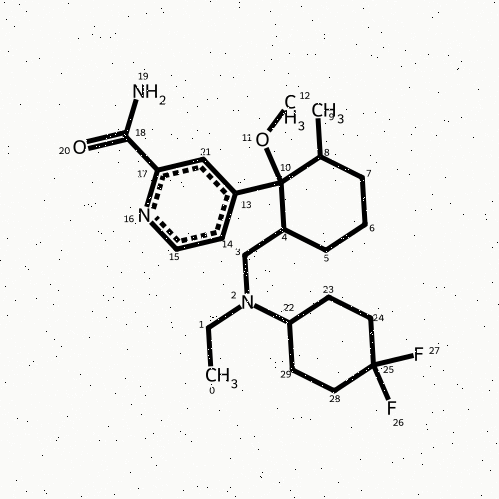 CCN(CC1CCCC(C)C1(OC)c1ccnc(C(N)=O)c1)C1CCC(F)(F)CC1